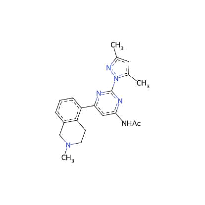 CC(=O)Nc1cc(-c2cccc3c2CCN(C)C3)nc(-n2nc(C)cc2C)n1